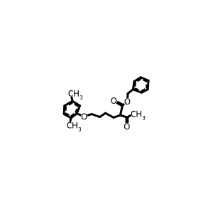 CC(=O)C(CCCCOc1cc(C)ccc1C)C(=O)OCc1ccccc1